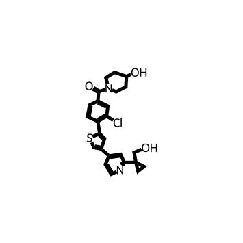 O=C(c1ccc(-c2cc(-c3ccnc(C4(CO)CC4)c3)cs2)c(Cl)c1)N1CCC(O)CC1